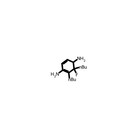 CCCCC1=C(N)C=CC(N)C1(F)CCCC